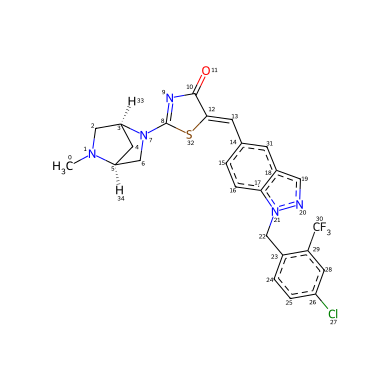 CN1C[C@@H]2C[C@H]1CN2C1=NC(=O)/C(=C/c2ccc3c(cnn3Cc3ccc(Cl)cc3C(F)(F)F)c2)S1